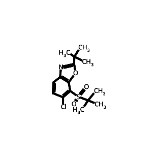 CC(C)(C)c1nc2ccc(Cl)c(S(=O)(=O)C(C)(C)C)c2o1